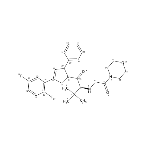 CC(C)(C)[C@H](NCC(=O)N1CCOCC1)C(=O)N1CC(c2cc(F)ccc2F)=CC1c1ccccc1